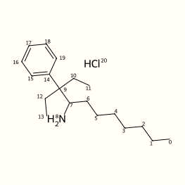 CCCCCCCC(N)C(CC)(CC)c1ccccc1.Cl